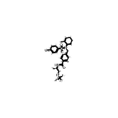 CC1CCCCC1N(Cc1ccc(C(=O)N[C@H](C)COC(F)(F)F)cc1)S(=O)(=O)c1ccc(Cl)cc1